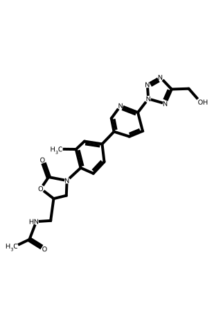 CC(=O)NCC1CN(c2ccc(-c3ccc(-n4nnc(CO)n4)nc3)cc2C)C(=O)O1